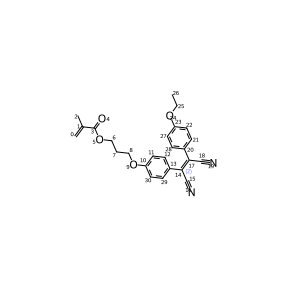 C=C(C)C(=O)OCCCOc1ccc(/C(C#N)=C(/C#N)c2ccc(OCC)cc2)cc1